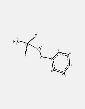 CC(F)(F)OCc1cccnc1